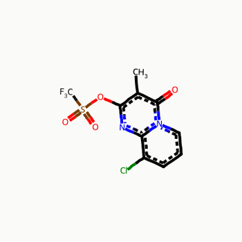 Cc1c(OS(=O)(=O)C(F)(F)F)nc2c(Cl)cccn2c1=O